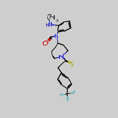 CNc1ccccc1N(C=O)C1CCN(C(=S)Cc2ccc(C(F)(F)F)cc2)CC1